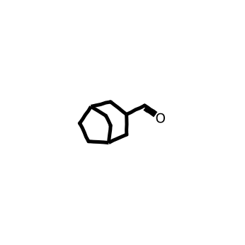 O=CC1CC2CCC(CC2)C1